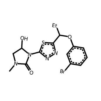 CCC(Oc1cccc(Br)c1)c1nnc(N2C(=O)N(C)CC2O)s1